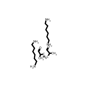 CC(C)C=O.CC(C)C=O.NCCCCCCN.NCCCCCCN